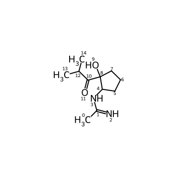 CC(=N)NC1CCCC1(O)C(=O)C(C)C